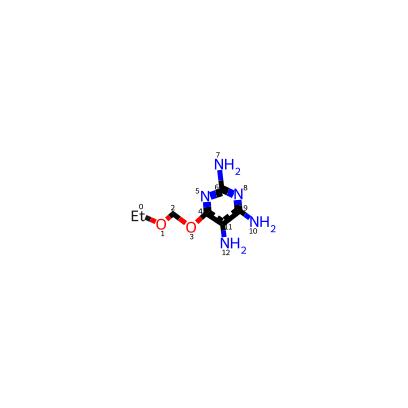 CCOCOc1nc(N)nc(N)c1N